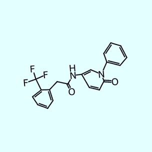 O=C(Cc1ccccc1C(F)(F)F)Nc1ccc(=O)n(-c2ccccc2)c1